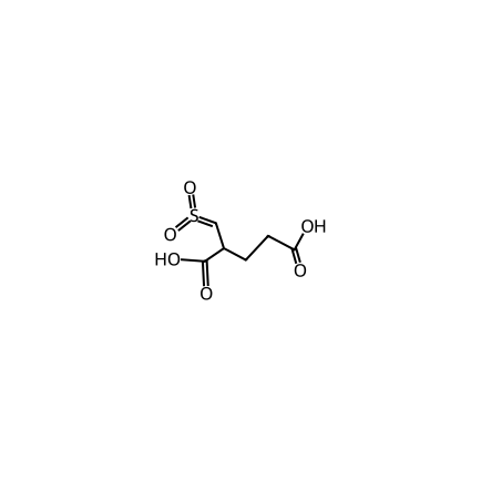 O=C(O)CCC(C=S(=O)=O)C(=O)O